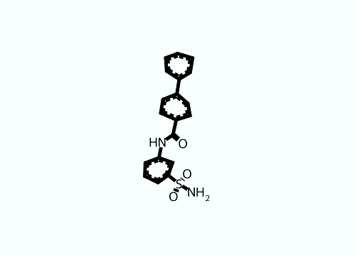 NS(=O)(=O)c1cccc(NC(=O)c2ccc(-c3ccccc3)cc2)c1